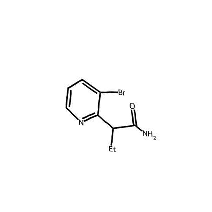 CCC(C(N)=O)c1ncccc1Br